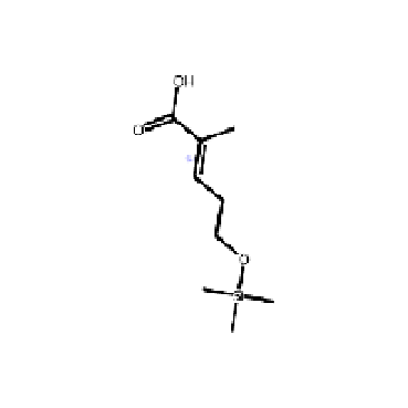 C/C(=C\CCO[Si](C)(C)C)C(=O)O